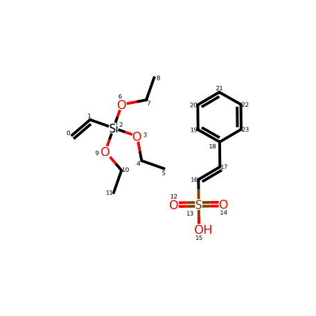 C=C[Si](OCC)(OCC)OCC.O=S(=O)(O)C=Cc1ccccc1